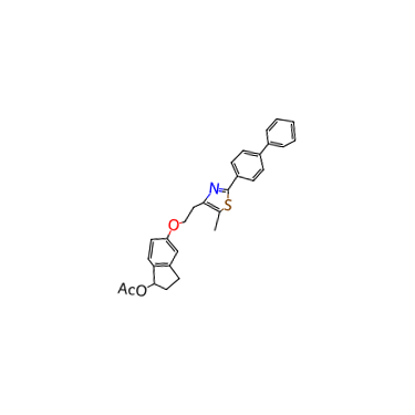 CC(=O)OC1CCc2cc(OCCc3nc(-c4ccc(-c5ccccc5)cc4)sc3C)ccc21